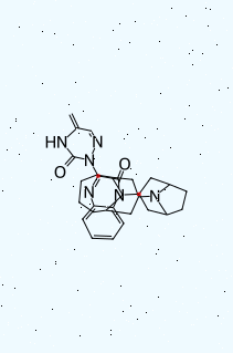 C=C1C=NN(c2nc3ccccc3n(C3CC4CCC(C3)N4C3CC4CCCCC(C4)C3)c2=O)C(=O)N1